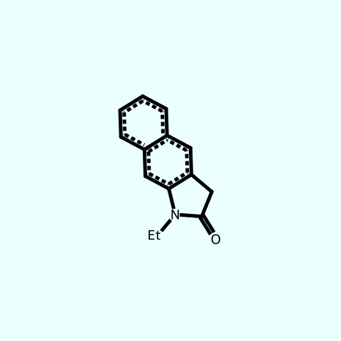 CCN1C(=O)Cc2cc3ccccc3cc21